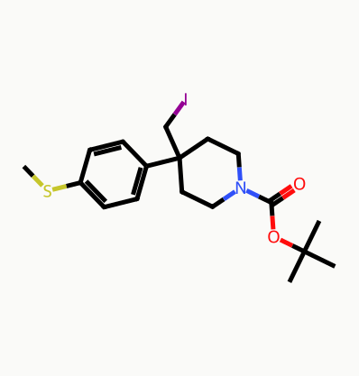 CSc1ccc(C2(CI)CCN(C(=O)OC(C)(C)C)CC2)cc1